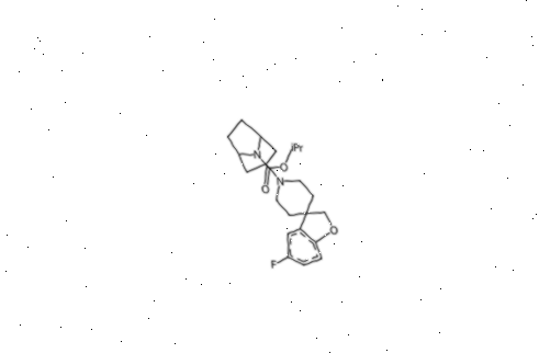 CC(C)OC(=O)N1C2CCC1CC(N1CCC3(CC1)COc1ccc(F)cc13)C2